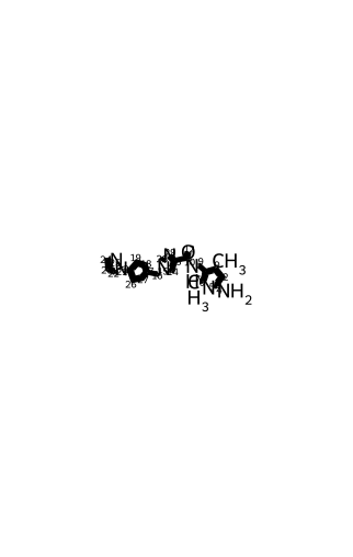 Cc1cc(N)nc(C)c1CNC(=O)c1cn(Cc2ccc(-n3cccn3)cc2)cn1